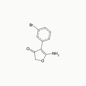 NC1=C(c2cccc(Br)c2)C(=O)CO1